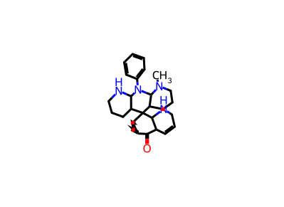 CN1CCCC2C1N(c1ccccc1)C1NCCCC1C21c2ccccc2C(=O)C2C=CCNC21